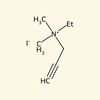 C#CC[N+](C)(C)CC.[I-]